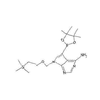 CC1(C)OB(c2cn(COCC[Si](C)(C)C)c3ncnc(N)c23)OC1(C)C